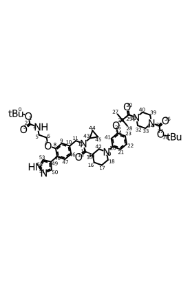 CC(C)(C)OC(=O)NCCOc1cc(CN(C(=O)[C@@H]2CCCN(c3cccc(OC(C)(C)C(=O)N4CCN(C(=O)OC(C)(C)C)CC4)c3)C2)C2CC2)ccc1-c1cn[nH]c1